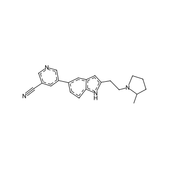 CC1CCCN1CCc1cc2cc(-c3cncc(C#N)c3)ccc2[nH]1